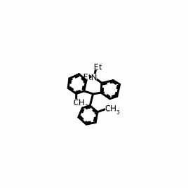 CCN(CC)c1ccccc1C(c1ccccc1C)c1ccccc1C